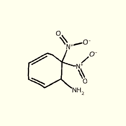 NC1C=CC=CC1([N+](=O)[O-])[N+](=O)[O-]